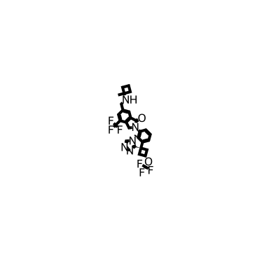 Cn1cnnc1[C@]1(c2cccc(N3Cc4c(cc(CNC5(C)CCC5)cc4C(F)(F)F)C3=O)c2)C[C@H](OC(F)(F)F)C1